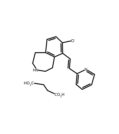 Clc1ccc2c(c1C=Cc1ccccn1)CCNCC2.O=C(O)CCC(=O)O